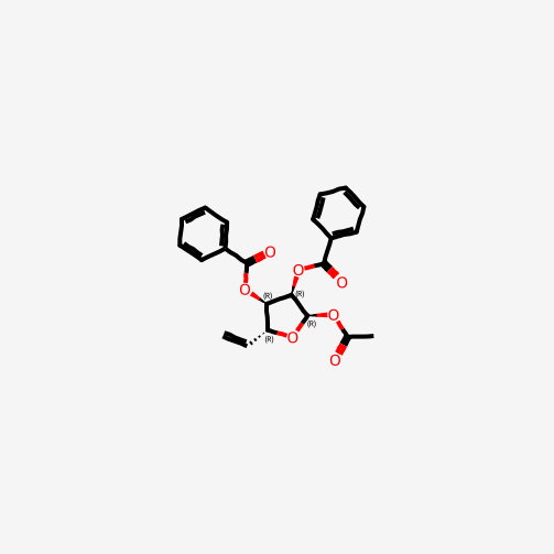 C=C[C@H]1O[C@H](OC(C)=O)[C@H](OC(=O)c2ccccc2)[C@@H]1OC(=O)c1ccccc1